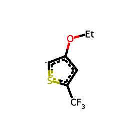 CCOc1[c]sc(C(F)(F)F)c1